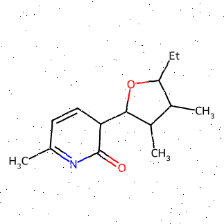 CCC1OC(C2C=CC(C)=NC2=O)C(C)C1C